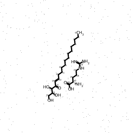 CCCCCCCCCCCCCC=CC(=O)C(O)C(O)CO.N=C(N)NCCC[C@H](N)C(=O)O